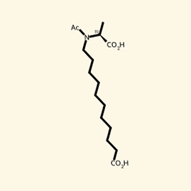 CC(=O)N(CCCCCCCCCCC(=O)O)[C@@H](C)C(=O)O